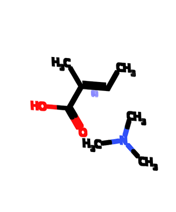 C/C=C(\C)C(=O)O.CN(C)C